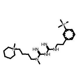 CN(CCCC[N+]1(C)CCCCC1)C(=N)NC(=N)NCCc1cccc([N+](C)(C)C)c1